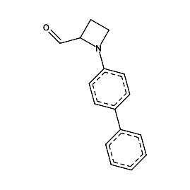 O=CC1CCN1c1ccc(-c2ccccc2)cc1